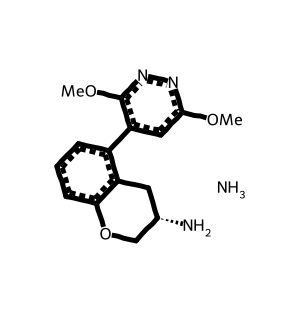 COc1cc(-c2cccc3c2C[C@H](N)CO3)c(OC)nn1.N